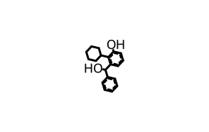 Oc1cccc(C(O)c2ccccc2)c1C1CCCCC1